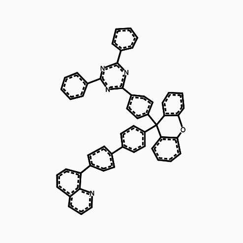 c1ccc(-c2nc(-c3ccccc3)nc(-c3ccc(C4(c5ccc(-c6ccc(-c7cccc8cccnc78)cc6)cc5)c5ccccc5Oc5ccccc54)cc3)n2)cc1